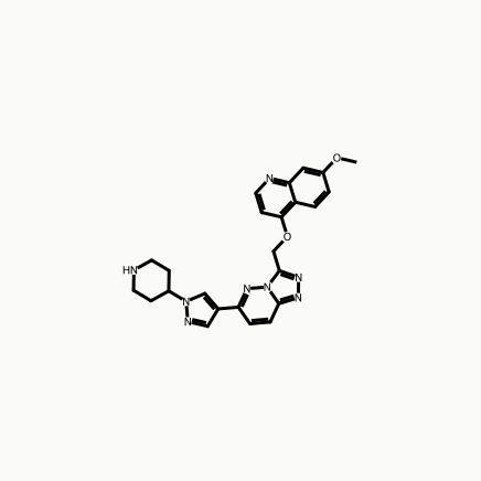 COc1ccc2c(OCc3nnc4ccc(-c5cnn(C6CCNCC6)c5)nn34)ccnc2c1